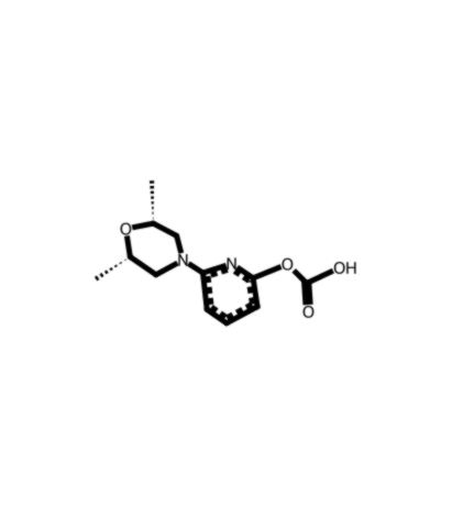 C[C@@H]1CN(c2cccc(OC(=O)O)n2)C[C@H](C)O1